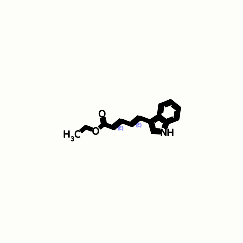 CCOC(=O)/C=C/C=C/c1c[nH]c2ccccc12